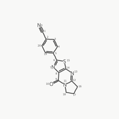 N#Cc1ccc(-c2nc3c(=O)n4c(nc3s2)CCC4)cc1